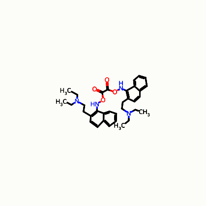 CCN(CC)CCc1ccc2ccccc2c1NOC(=O)C(=O)ONc1c(CCN(CC)CC)ccc2ccccc12